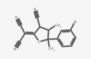 CC1C(C#N)C(=C(C#N)C#N)OC1(C)c1cccc(Br)c1